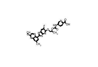 COc1cnc2c(-c3nc4cc(F)c(OCC(C)OC(=O)Nc5ccc(C(=O)O)nc5)nc4s3)cc(C)cc2n1